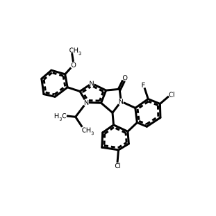 COc1ccccc1-c1nc2c(n1C(C)C)C1c3ccc(Cl)cc3-c3ccc(Cl)c(F)c3N1C2=O